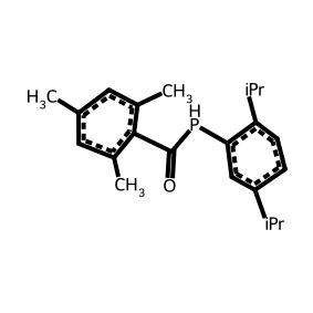 Cc1cc(C)c(C(=O)Pc2cc(C(C)C)ccc2C(C)C)c(C)c1